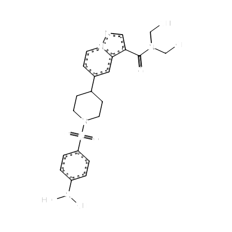 CCN(CC)C(=O)c1cnn2ccc(C3CCN(S(=O)(=O)c4ccc(N(C)C)cc4)CC3)cc12